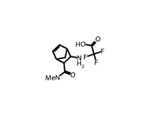 CNC(=O)C1C2C=CC(C2)C1N.O=C(O)C(F)(F)F